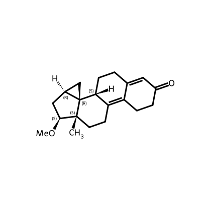 CO[C@H]1C[C@H]2C[C@]23[C@@H]2CCC4=CC(=O)CCC4=C2CC[C@]13C